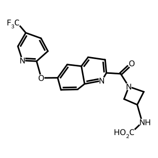 O=C(O)NC1CN(C(=O)c2ccc3cc(Oc4ccc(C(F)(F)F)cn4)ccc3n2)C1